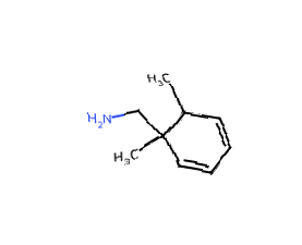 CC1C=CC=CC1(C)CN